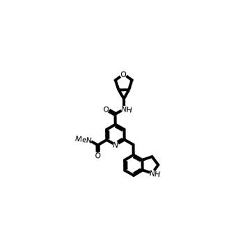 CNC(=O)c1cc(C(=O)NC2C3COCC32)cc(Cc2cccc3c2CCN3)n1